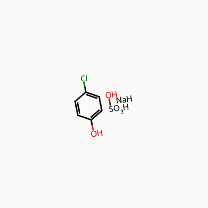 O=S(=O)(O)O.Oc1ccc(Cl)cc1.[NaH]